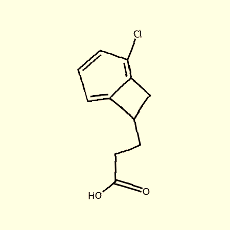 O=C(O)CCC1Cc2c(Cl)cccc21